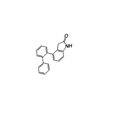 O=C1Cc2c(cccc2-c2ccccc2-c2ccccc2)N1